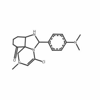 CN1C=C(Cl)N2C(c3ccc(N(C)C)cc3)NC3CCCC(=O)C32C1